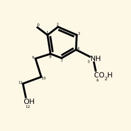 Cc1ccc(NC(=O)O)cc1CCCO